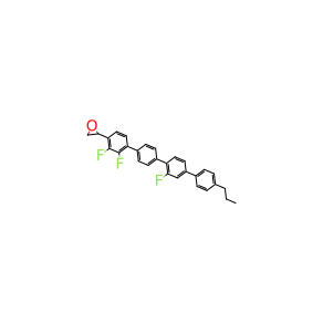 CCCc1ccc(-c2ccc(-c3ccc(-c4ccc(C5CO5)c(F)c4F)cc3)c(F)c2)cc1